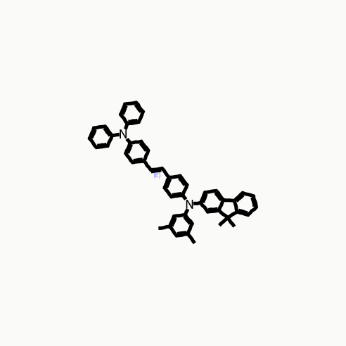 Cc1cc(C)cc(N(c2ccc(/C=C/c3ccc(N(c4ccccc4)c4ccccc4)cc3)cc2)c2ccc3c(c2)C(C)(C)c2ccccc2-3)c1